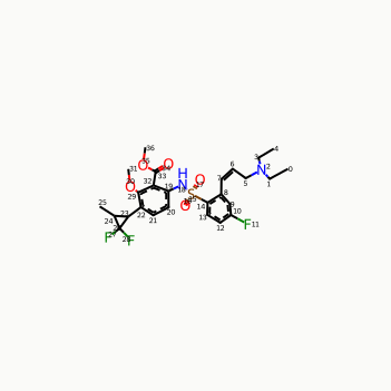 CCN(CC)C/C=C\c1cc(F)ccc1S(=O)(=O)Nc1ccc(C2C(C)C2(F)F)c(OC)c1C(=O)OC